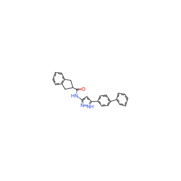 O=C(Nc1cc(-c2ccc(-c3ccccc3)cc2)[nH]n1)C1Cc2ccccc2C1